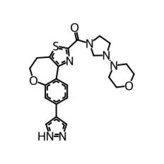 O=C(c1nc2c(s1)CCOc1cc(-c3cn[nH]c3)ccc1-2)N1CCN(N2CCOCC2)C1